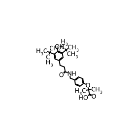 CC(C)(Oc1ccc(CNC(=O)CCc2cc(C(C)(C)C)c(O)c(C(C)(C)C)c2)cc1)C(=O)O